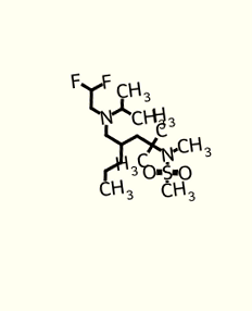 CCCC(CN(CC(F)F)C(C)C)CC(C)(C)N(C)S(C)(=O)=O